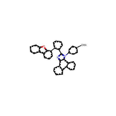 COc1ccc(-n2c(-c3ccccc3-c3cccc4c3oc3ccccc34)nc3c4ccccc4c4ccccc4c32)cc1